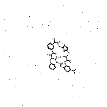 Cc1csc(CN(C)C(=O)c2cccc(C(=O)NC(Cc3ccccc3)C(O)CNCc3ccc(C(C)C)cc3OC(=O)N(C)C)c2)n1